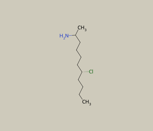 CCCC[C@@H](Cl)CCCCC(C)N